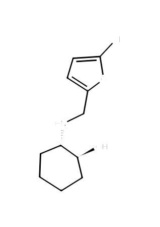 O[C@H]1CCCC[C@@H]1NCc1ccc(Cl)o1